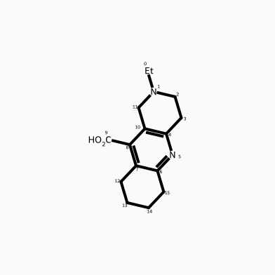 CCN1CCc2nc3c(c(C(=O)O)c2C1)CCCC3